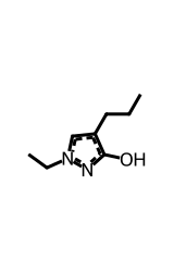 CCCc1cn(CC)nc1O